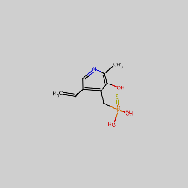 C=Cc1cnc(C)c(O)c1CP(O)(O)=S